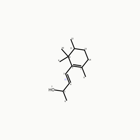 CC1=C(/C=C/C(C)O)C(C)(C)C(C)CC1